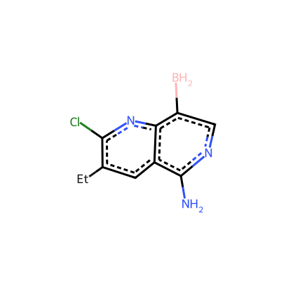 Bc1cnc(N)c2cc(CC)c(Cl)nc12